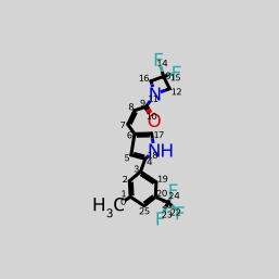 Cc1cc(-c2cc(/C=C\C(=O)N3CC(F)(F)C3)c[nH]2)cc(C(F)(F)F)c1